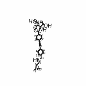 C[C@@H](O)[C@H](NC(=O)c1ccc(C#Cc2ccc(CNCCN(C)C)cc2)cc1)C(=O)NO